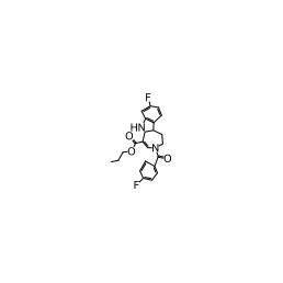 CCCOC(=O)C1=CN(C(=O)c2ccc(F)cc2)CCC2c3ccc(F)cc3NC12